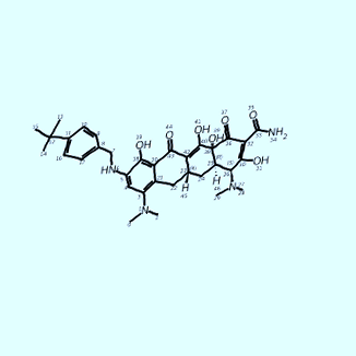 CN(C)c1cc(NCc2ccc(C(C)(C)C)cc2)c(O)c2c1C[C@H]1C[C@@H]3[C@H](N(C)C)C(O)=C(C(N)=O)C(=O)[C@@]3(O)C(O)=C1C2=O